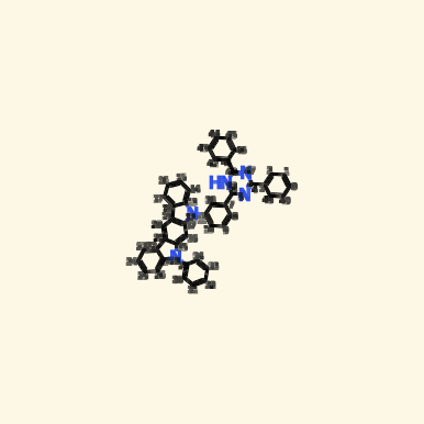 c1ccc(C2=NC(c3cccc(-n4c5ccccc5c5cc6c7ccccc7n(-c7ccccc7)c6cc54)c3)NC(c3ccccc3)=N2)cc1